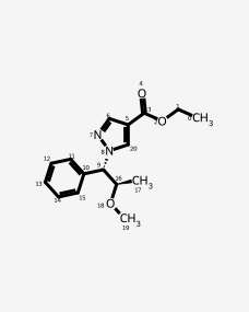 CCOC(=O)c1cnn([C@@H](c2ccccc2)[C@@H](C)OC)c1